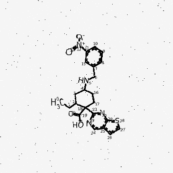 CCC1CC(NCc2cccc([N+](=O)[O-])c2)CCC1(C(=O)O)c1ncc2ccsc2n1